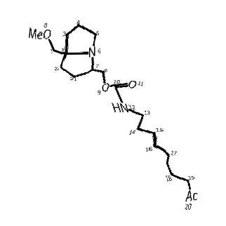 COCC12CCCN1C(COC(=O)NCCCCCCCC(C)=O)CC2